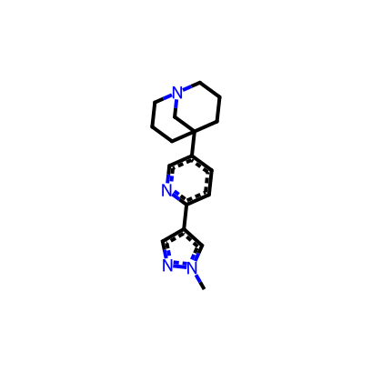 Cn1cc(-c2ccc(C34CCCN(CCC3)C4)cn2)cn1